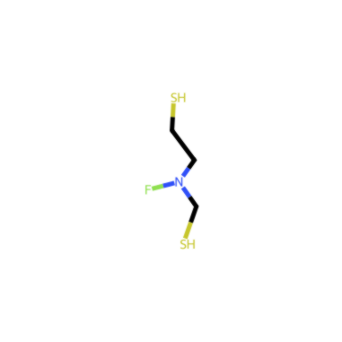 FN(CS)CCS